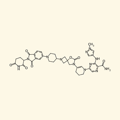 Cn1cc(Nc2nc(N3C=C(N4CC5(CN(C6CCN(c7ccc8c(c7)C(=O)N(C7CCC(=O)NC7=O)C8=O)CC6)C5)OC4=O)CCC3)cnc2C(N)=O)cn1